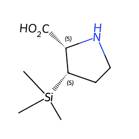 C[Si](C)(C)[C@H]1CCN[C@H]1C(=O)O